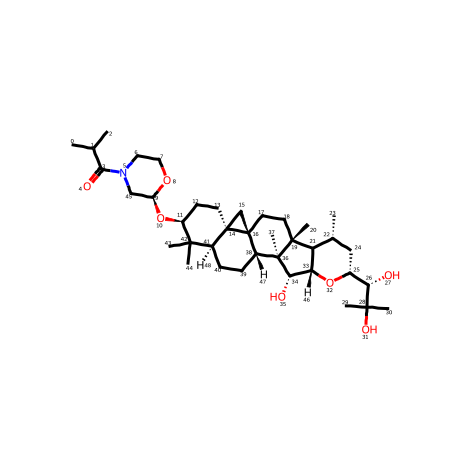 CC(C)C(=O)N1CCO[C@@H](O[C@H]2CC[C@]34C[C@]35CC[C@]3(C)C6[C@H](C)C[C@H]([C@H](O)C(C)(C)O)O[C@@H]6[C@H](O)[C@@]3(C)[C@@H]5CC[C@H]4C2(C)C)C1